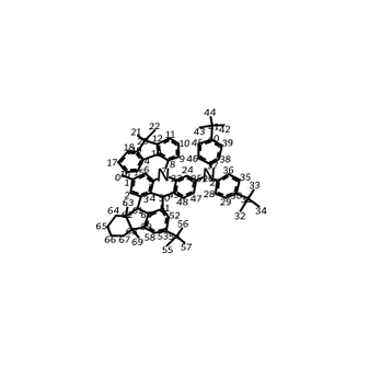 Cc1cc2c3c(c1)N(c1cccc4c1-c1ccccc1C4(C)C)c1cc(N(c4ccc(C(C)(C)C)cc4)c4ccc(C(C)(C)C)cc4)ccc1C3c1cc(C(C)(C)C)cc3c1C2C1(C)CCCCC31C